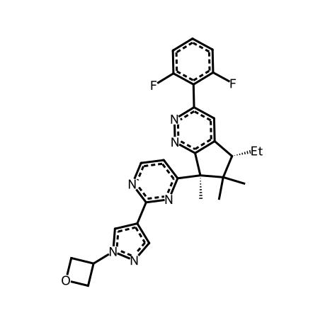 CC[C@H]1c2cc(-c3c(F)cccc3F)nnc2[C@](C)(c2ccnc(-c3cnn(C4COC4)c3)n2)C1(C)C